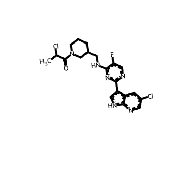 CC(Cl)C(=O)N1CCCC(CNc2nc(-c3c[nH]c4ncc(Cl)cc34)ncc2F)C1